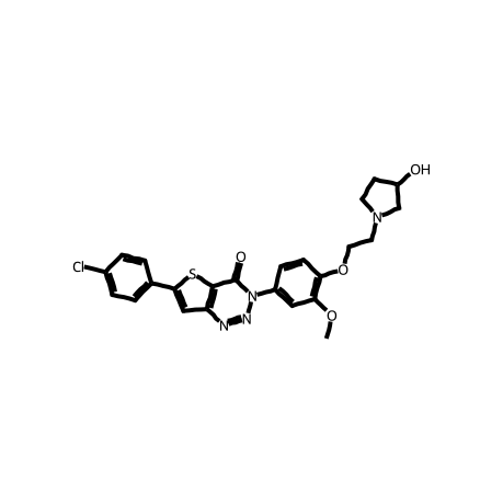 COc1cc(-n2nnc3cc(-c4ccc(Cl)cc4)sc3c2=O)ccc1OCCN1CCC(O)C1